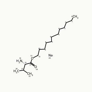 CCCCCCCCCCCCOC(=O)[C@@H](N)C(C)C.[Na]